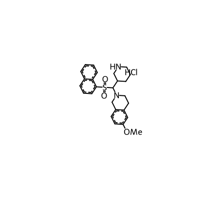 COc1ccc2c(c1)CCN(C(C1CCCNC1)S(=O)(=O)c1cccc3ccccc13)C2.Cl